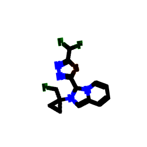 FCC1(N2C=C3C=CC=CN3C2c2nnc(C(F)F)s2)CC1